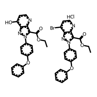 CCOC(=O)c1c2nccc(Br)c2nn1-c1ccc(Oc2ccccc2)cc1.CCOC(=O)c1c2nccc(O)c2nn1-c1ccc(Oc2ccccc2)cc1.Cl